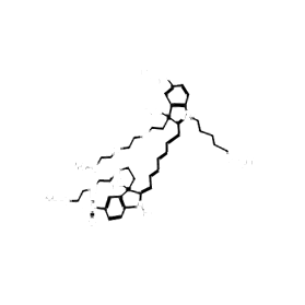 CCN1/C(=C/C=C/C=C/C=C/C2=[N+](CCCCCC(=O)O)c3ccc(S(=O)(=O)O)cc3C2(C)CCOCCOCCOC)C(C)(CCOCCOCCOC)c2cc(S(=O)(=O)[O-])ccc21